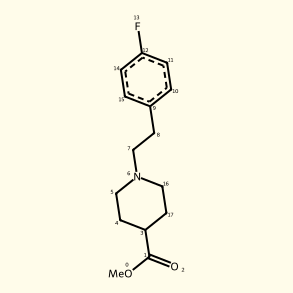 COC(=O)C1CCN(CCc2ccc(F)cc2)CC1